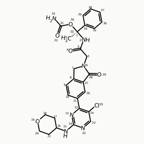 C[C@](NC(=O)CN1Cc2ccc(-c3nc(NC4CCOCC4)ncc3Cl)cc2C1=O)(OC(N)=O)c1ccccc1